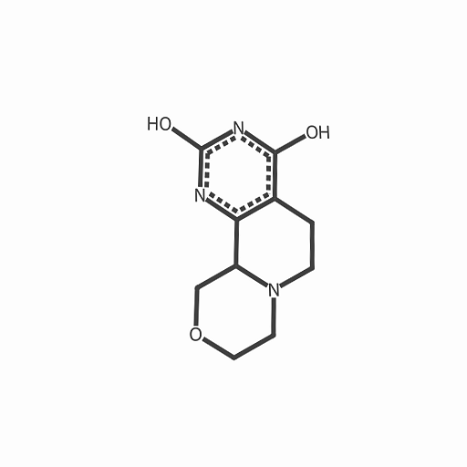 Oc1nc(O)c2c(n1)C1COCCN1CC2